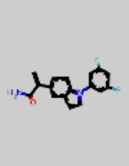 C=C(C(N)=O)c1ccc2c(ccn2-c2cc(F)cc(F)c2)c1